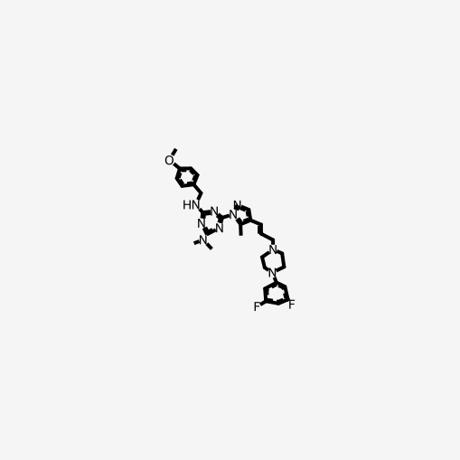 COc1ccc(CNc2nc(N(C)C)nc(-n3ncc(C=CCN4CCN(c5cc(F)cc(F)c5)CC4)c3C)n2)cc1